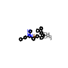 CC1(C)C2=C(C(c3ccc4sc5c(C6=NC(c7ccccc7)NC(c7ccc(C8=CCCC=C8)cc7)=C6)cccc5c4c3)=CCC2)c2cc3c(cc21)-c1ccccc1C31CCCCC1